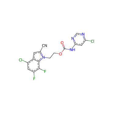 N#Cc1cc2c(Cl)cc(F)c(F)c2n1CCOC(=O)Nc1cc(Cl)ncn1